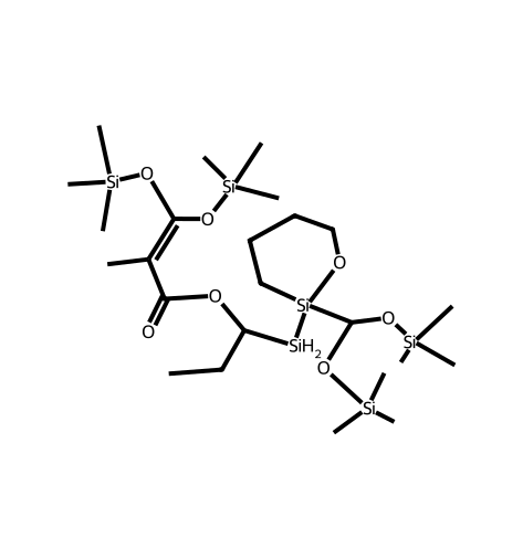 CCC(OC(=O)C(C)=C(O[Si](C)(C)C)O[Si](C)(C)C)[SiH2][Si]1(C(O[Si](C)(C)C)O[Si](C)(C)C)CCCCO1